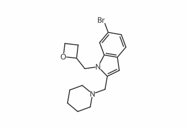 Brc1ccc2cc(CN3CCCCC3)n(CC3CCO3)c2c1